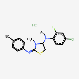 CC(=O)N(c1ccc(Cl)cc1F)C1CSC(=Nc2ccc(C#N)cc2)N1C.Cl